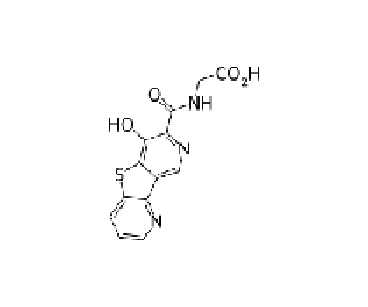 O=C(O)CNC(=O)c1ncc2c(sc3cccnc32)c1O